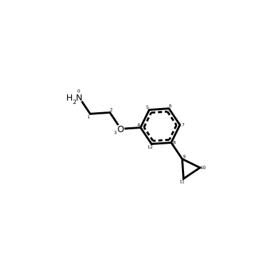 NCCOc1cccc(C2CC2)c1